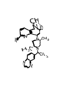 CC(c1ccc2nccnc2c1)N1C[C@H](C)N(c2cc(=O)n(C)c3ccc(C#N)nc23)C[C@H]1C